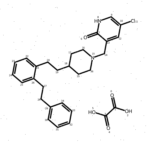 O=C(O)C(=O)O.O=c1[nH]cc(Cl)cc1CN1CCC(CCc2ccccc2CCc2ccccc2)CC1